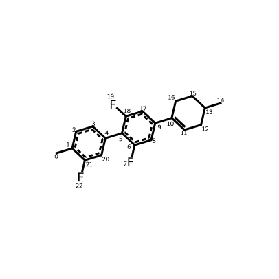 Cc1ccc(-c2c(F)cc(C3=CCC(C)CC3)cc2F)cc1F